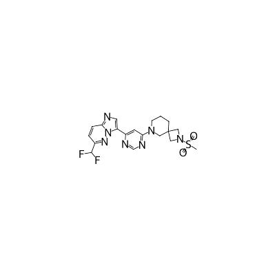 CS(=O)(=O)N1CC2(CCCN(c3cc(-c4cnc5ccc(C(F)F)nn45)ncn3)C2)C1